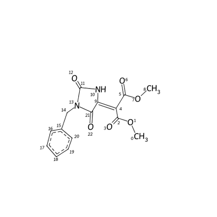 COC(=O)C(C(=O)OC)=C1NC(=O)N(Cc2ccccc2)C1=O